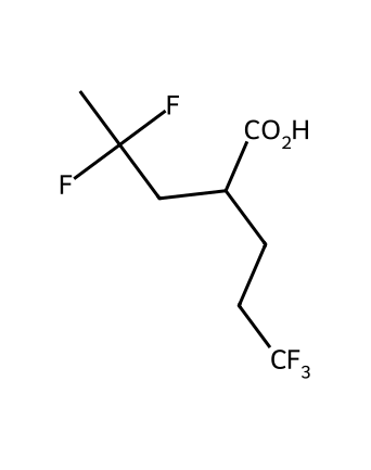 CC(F)(F)CC(CCC(F)(F)F)C(=O)O